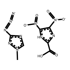 Cn1cnc(N=[N+]=[N-])n1.O=C(O)c1nc([N+](=O)[O-])c([N+](=O)[O-])[nH]1